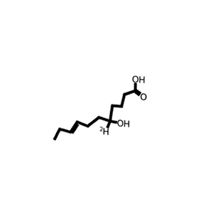 [2H]C(O)(CCC=CCC)CCCC(=O)O